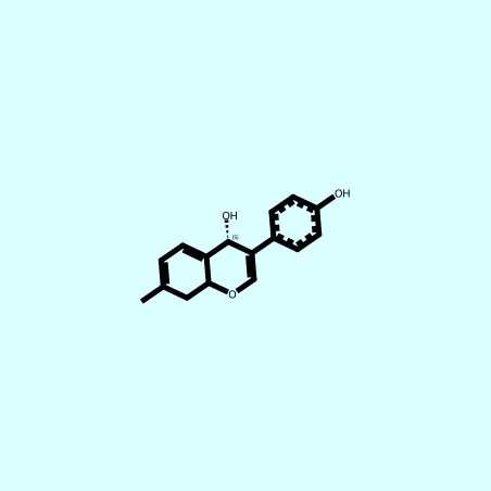 CC1=CC=C2C(C1)OC=C(c1ccc(O)cc1)[C@H]2O